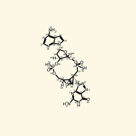 Nc1nc2c(nnn2[C@@H]2O[C@@H]3COP(=O)(S)O[C@H]4C[C@H](n5ccc6c(N)ccnc65)O[C@@H]4COP(=O)(S)C[C@@H]2[C@@H]3O)c(=O)[nH]1